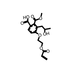 C=CC(=O)OCCOc1ccc(C(=O)O)c(C(=O)OC)c1CC(C)O